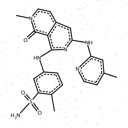 Cc1ccnc(Nc2cc3ccn(C)c(=O)c3c(Nc3ccc(C)c(S(N)(=O)=O)c3)n2)c1